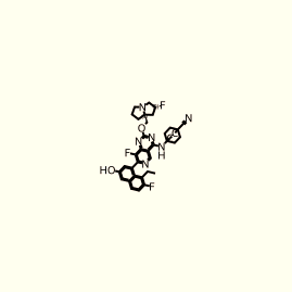 CCc1c(F)ccc2cc(O)cc(-c3ncc4c(NC56CCC(C#N)(CC5)CC6)nc(OC[C@@]56CCCN5C[C@H](F)C6)nc4c3F)c12